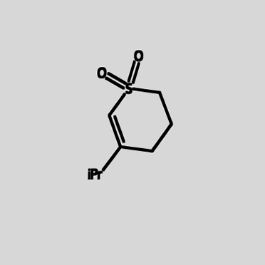 CC(C)C1=CS(=O)(=O)CCC1